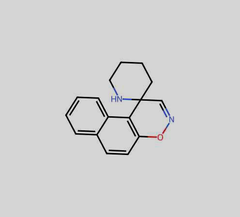 C1=NOc2ccc3ccccc3c2C12CCCCN2